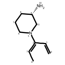 C=C/C(=C\C)N1CCC[C@H](N)C1